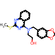 CSc1nc(N(CCO)Cc2ccc3c(c2)OCO3)c2ccccc2n1